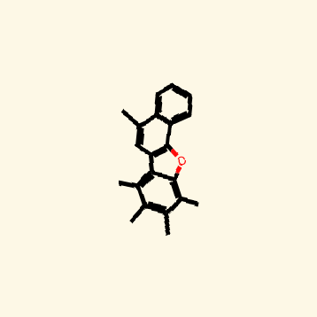 Cc1c(C)c(C)c2c(oc3c4ccccc4c(C)cc32)c1C